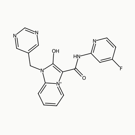 O=C(Nc1cc(F)ccn1)c1c(O)n(Cc2cncnc2)c2cccc[n+]12